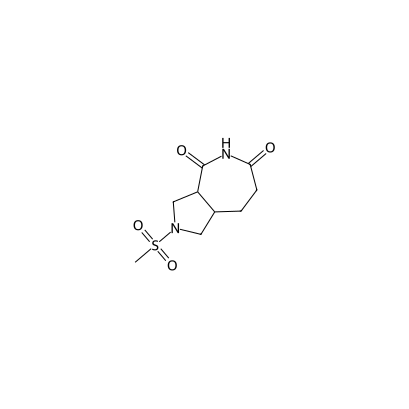 CS(=O)(=O)N1CC2CCC(=O)NC(=O)C2C1